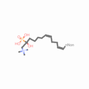 CCCCCCCCC/C=C\CC/C=C\CCCCC(O)(C[N+](C)(C)C)P(=O)(O)O